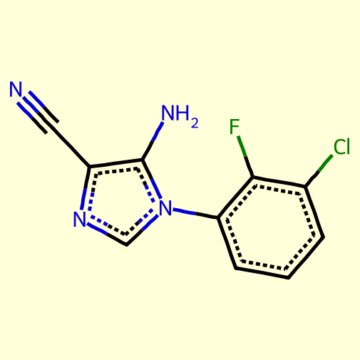 N#Cc1ncn(-c2cccc(Cl)c2F)c1N